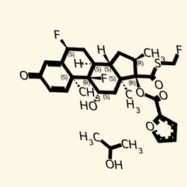 CC(C)O.C[C@@H]1C[C@H]2[C@@H]3C[C@H](F)C4=CC(=O)C=C[C@]4(C)[C@@]3(F)[C@@H](O)C[C@]2(C)[C@@]1(OC(=O)c1ccco1)C(=O)SCF